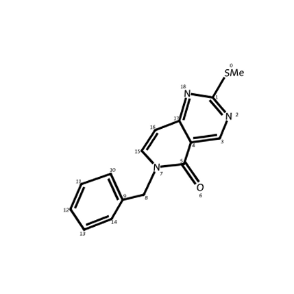 CSc1ncc2c(=O)n(Cc3ccccc3)ccc2n1